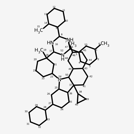 CC1CCCC(C2NC(C3CCCCC3C)NC(C3(C)CCCC(N4C5CC(C6CCCCC6)CCC5C5(C6CC6)CCC6CCC(C)CC6C45)C3)N2)C1